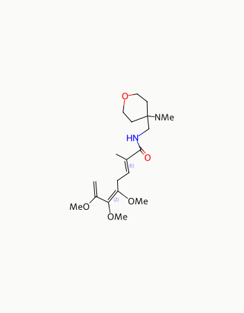 C=C(OC)/C(OC)=C(\C/C=C(\C)C(=O)NCC1(NC)CCOCC1)OC